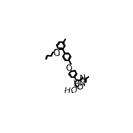 CCCCOc1ccc(C)cc1-c1ccc(COc2ccc([C@H](CC(=O)O)c3nc(C)c[nH]3)cc2)cc1